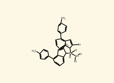 CCC1=Cc2c(-c3ccc(C)cc3)cccc2[CH]1[Zr]([Cl])([Cl])([CH]1C(C)=Cc2c(-c3ccc(C)cc3)cccc21)[SiH](CC)CC